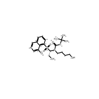 C[CH][C@@H](N(CCCCO)C(=O)OC(C)(C)C)S(=O)(=O)c1cccc2cncc(Cl)c12